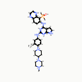 CN1CCN(C2CCN(c3ccc(Nc4nc(Nc5ccc6nccnc6c5P(C)(C)=O)c5cc[nH]c5n4)cc3C(F)(F)F)CC2)CC1